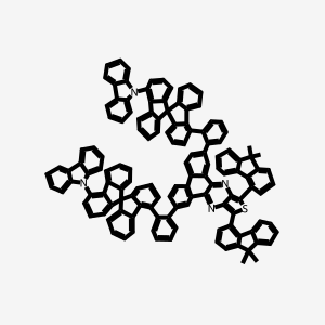 CC1(C)c2ccccc2-c2c(-c3sc(-c4cccc5c4-c4ccccc4C5(C)C)c4nc5c6cc(-c7ccccc7-c7cccc8c7-c7ccccc7C87c8ccccc8-c8c(-n9c%10ccccc%10c%10ccccc%109)cccc87)ccc6c6ccc(-c7ccccc7-c7cccc8c7-c7ccccc7C87c8ccccc8-c8c(-n9c%10ccccc%10c%10ccccc%109)cccc87)cc6c5nc34)cccc21